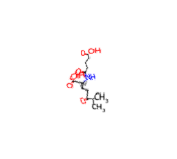 CC(C)C(=O)CC[C@H](NC(=O)CCCC(=O)O)C(=O)O